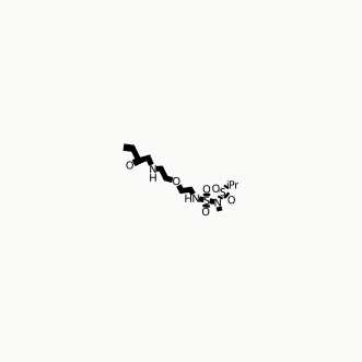 C=CC(=O)CNCCOCCNS(=O)(=O)N(C)S(=O)(=O)C(C)C